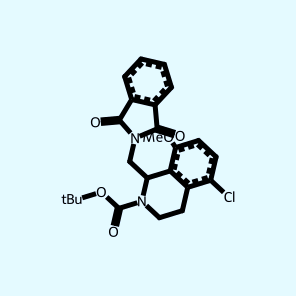 COc1ccc(Cl)c2c1C(CN1C(=O)c3ccccc3C1=O)N(C(=O)OC(C)(C)C)CC2